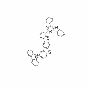 c1ccc(C2=NC(c3cccc4c3sc3cc5sc6ccc(-n7c8ccccc8c8ccccc87)cc6c5cc34)=NC(c3ccccc3)N2)cc1